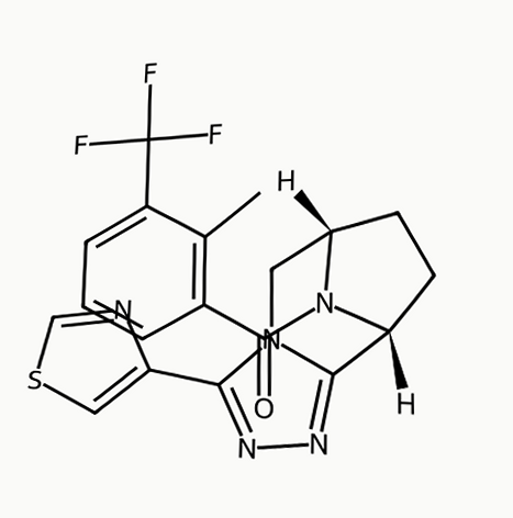 Cc1c(C(=O)N2[C@H]3CC[C@@H]2c2nnc(-c4cscn4)n2C3)cccc1C(F)(F)F